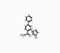 NC(=O)c1ccc(-c2ccccc2)cc1-c1cc[nH]n1